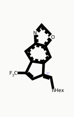 CCCCCC/C=C1\C=C(C(F)(F)F)c2cc3ncoc3cc21